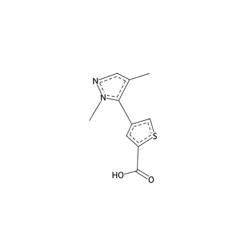 Cc1cnn(C)c1-c1csc(C(=O)O)c1